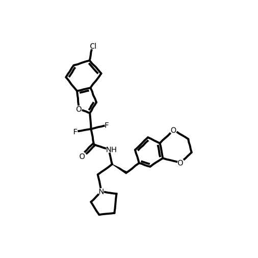 O=C(N[C@@H](Cc1ccc2c(c1)OCCO2)CN1CCCC1)C(F)(F)c1cc2cc(Cl)ccc2o1